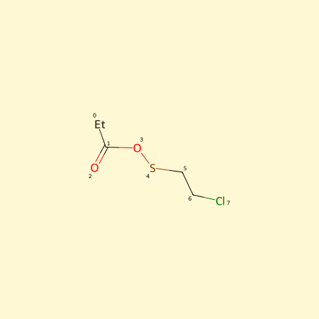 CCC(=O)OSCCCl